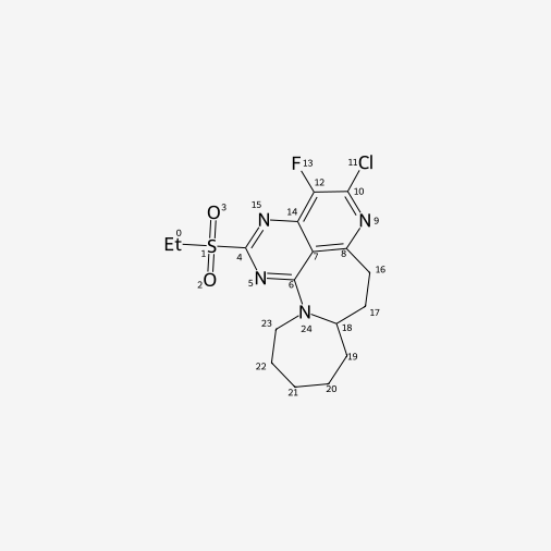 CCS(=O)(=O)c1nc2c3c(nc(Cl)c(F)c3n1)CCC1CCCCCN21